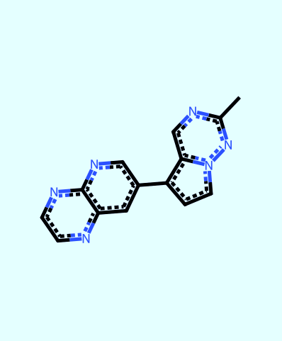 Cc1ncc2c(-c3cnc4nccnc4c3)ccn2n1